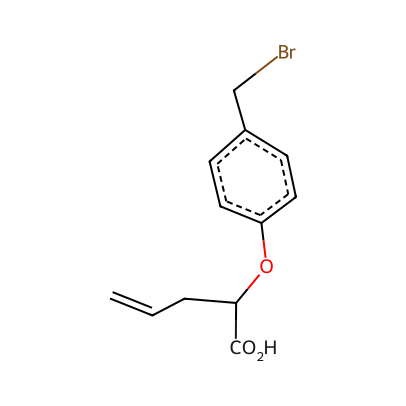 C=CCC(Oc1ccc(CBr)cc1)C(=O)O